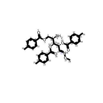 B[C@H](COC(=O)c1ccc(C)cc1)[C@H](OC(=O)c1ccc(C)cc1)[C@@H](/C=N/OC)OC(=O)c1ccc(C)cc1